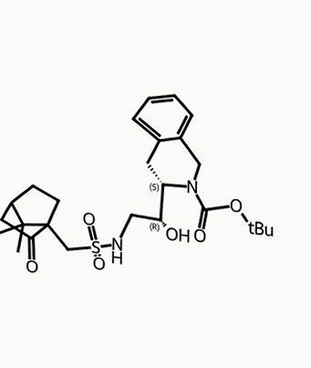 CC(C)(C)OC(=O)N1Cc2ccccc2C[C@H]1[C@H](O)CNS(=O)(=O)CC12CCC(CC1=O)C2(C)C